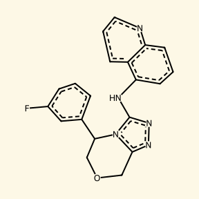 Fc1cccc(C2COCc3nnc(Nc4cccc5ncccc45)n32)c1